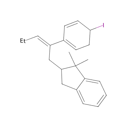 CC/C=C(\CC1Cc2ccccc2C1(C)C)C1=CCC(I)C=C1